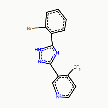 FC(F)(F)c1ccncc1-c1n[nH]c(-c2ccccc2Br)n1